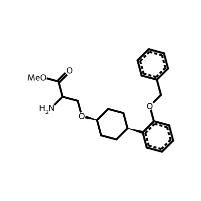 COC(=O)C(N)CO[C@H]1CC[C@@H](c2ccccc2OCc2ccccc2)CC1